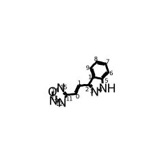 C(=C\c1n[nH]c2ccccc12)/c1nnon1